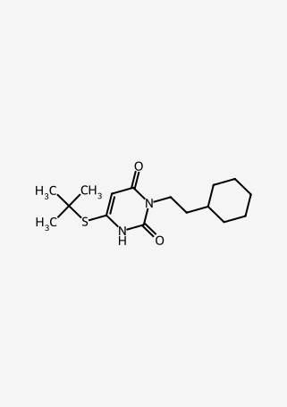 CC(C)(C)Sc1cc(=O)n(CCC2CCCCC2)c(=O)[nH]1